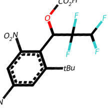 CC(C)(C)c1cc([N+](=O)[O-])cc([N+](=O)[O-])c1C(OC(=O)O)C(F)(F)C(F)F